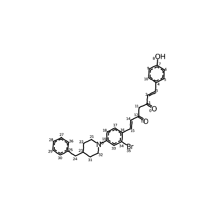 O=C(C=Cc1ccc(O)cc1)CC(=O)C=Cc1ccc(N2CCC(Cc3ccccc3)CC2)cc1Br